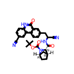 CC(C)(C)OC(=O)N1[C@@H]2CC[C@@H](C2)[C@H]1C(=O)NC(C#N)Cc1ccc2c(c1)c(=O)[nH]c1ccc(C#N)cc12